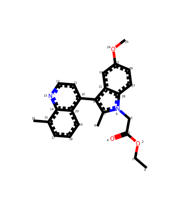 CCOC(=O)Cn1c(C)c(-c2ccnc3c(C)cccc23)c2cc(OC)ccc21